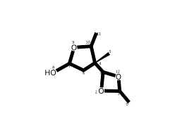 CC1OC([C@]2(C)CC(O)OC2C)O1